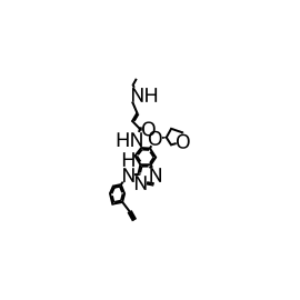 C#Cc1cccc(Nc2ncnc3cc(O[C@H]4CCOC4)c(NC(=O)/C=C/CNCC)cc23)c1